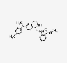 COC(=O)c1ccncc1NC[C@H]1NCCc2cc(N(C)c3ccc(C)cc3)ccc21